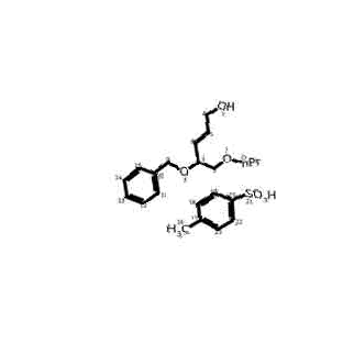 CCCOCC(CCCO)OCc1ccccc1.Cc1ccc(S(=O)(=O)O)cc1